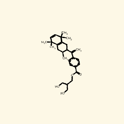 C=C(c1ccc(C(=O)OCC(CO)CO)cc1)C1CC2=C(CC1C)C(C)(C)C=CC2(C)C